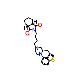 O=C1[C@H]2CCCC[C@H]2C(=O)N1CCCCN1CCN2c3cccc4scc(c34)CC2C1